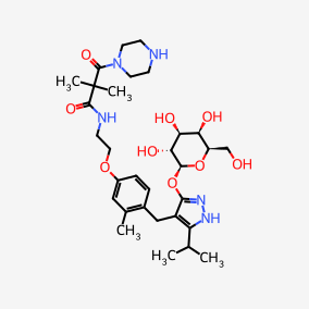 Cc1cc(OCCNC(=O)C(C)(C)C(=O)N2CCNCC2)ccc1Cc1c(O[C@@H]2O[C@H](CO)[C@H](O)[C@H](O)[C@H]2O)n[nH]c1C(C)C